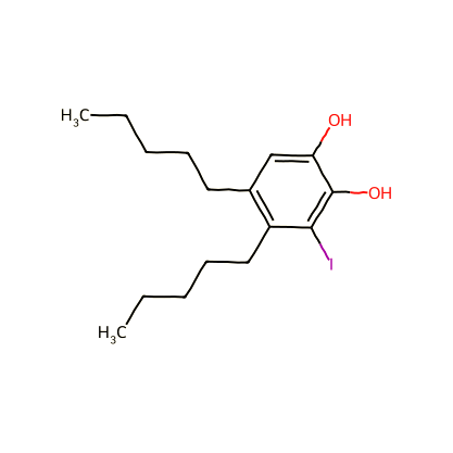 CCCCCc1cc(O)c(O)c(I)c1CCCCC